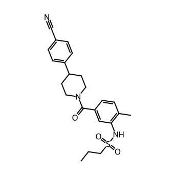 CCCS(=O)(=O)Nc1cc(C(=O)N2CCC(c3ccc(C#N)cc3)CC2)ccc1C